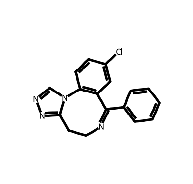 Clc1ccc2c(c1)C(c1ccccc1)=NCCc1nncn1-2